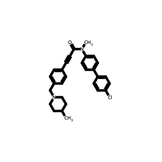 CC1CCN(Cc2ccc(C#CC(=O)N(C)c3ccc(-c4ccc(Cl)cc4)cc3)cc2)CC1